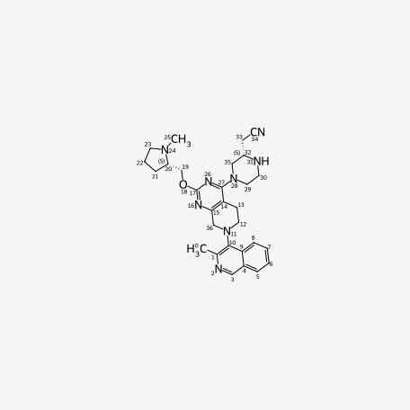 Cc1ncc2ccccc2c1N1CCc2c(nc(OC[C@@H]3CCCN3C)nc2N2CCN[C@@H](CC#N)C2)C1